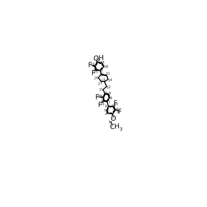 CCOc1ccc(-c2ccc(CCC3CC=C(c4ccc(O)c(F)c4F)CC3)c(F)c2F)c(F)c1F